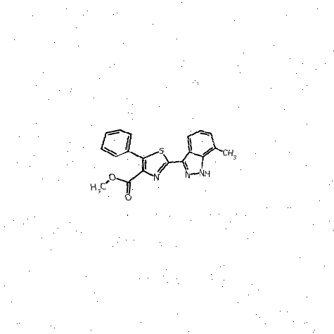 COC(=O)c1nc(-c2n[nH]c3c(C)cccc23)sc1-c1ccccc1